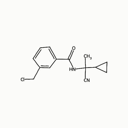 CC(C#N)(NC(=O)c1cccc(CCl)c1)C1CC1